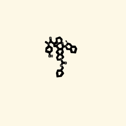 C[C@@H]1Cc2ccccc2CN1C(=O)c1cc2c(cc1-c1cc(C(=O)N(C)c3ccc(O)cc3)c3n1CCCC3)CCN(C(=O)OCc1ccccc1)C2